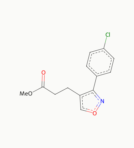 COC(=O)CCc1conc1-c1ccc(Cl)cc1